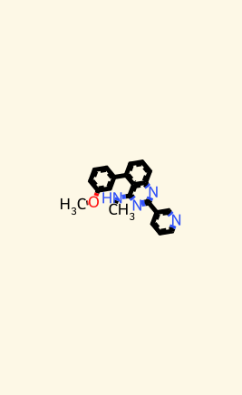 CNc1nc(-c2cccnc2)nc2cccc(-c3cccc(OC)c3)c12